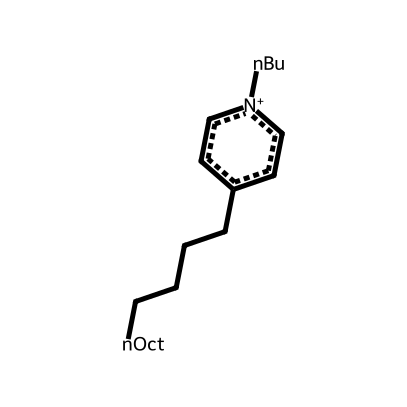 CCCCCCCCCCCCc1cc[n+](CCCC)cc1